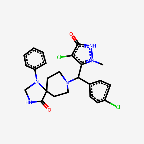 Cn1[nH]c(=O)c(Cl)c1C(c1ccc(Cl)cc1)N1CCC2(CC1)C(=O)NCN2c1ccccc1